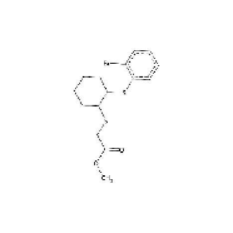 COC(=O)CSC1CCCCC1Sc1ccccc1Br